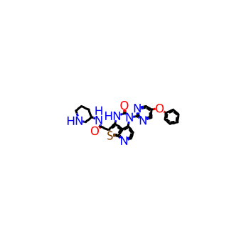 O=C(NC1CCCNC1)c1sc2nccc3c2c1NC(=O)N3c1ncc(Oc2ccccc2)cn1